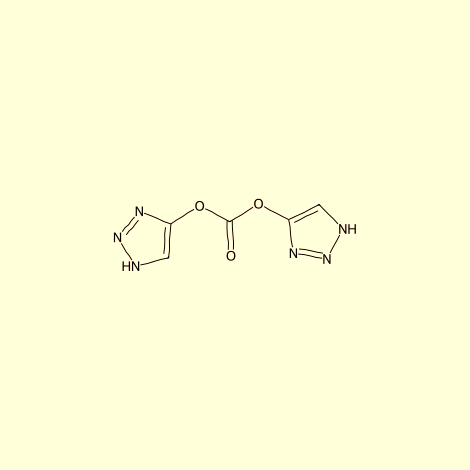 O=C(Oc1c[nH]nn1)Oc1c[nH]nn1